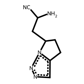 N#CC(N)CC1CCc2cnnn21